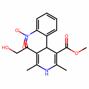 COC(=O)C1=C(C)NC(C)=C(C(=O)CO)C1c1ccccc1[N+](=O)[O-]